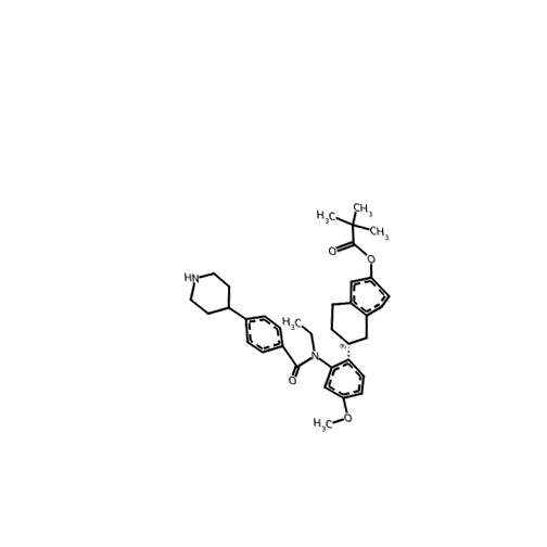 CCN(C(=O)c1ccc(C2CCNCC2)cc1)c1cc(OC)ccc1[C@@H]1CCc2cc(OC(=O)C(C)(C)C)ccc2C1